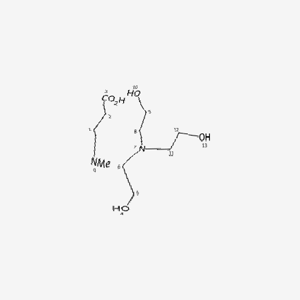 CNCCC(=O)O.OCCN(CCO)CCO